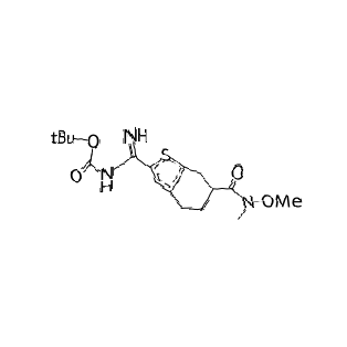 CON(C)C(=O)C1CCc2cc(C(=N)NC(=O)OC(C)(C)C)sc2C1